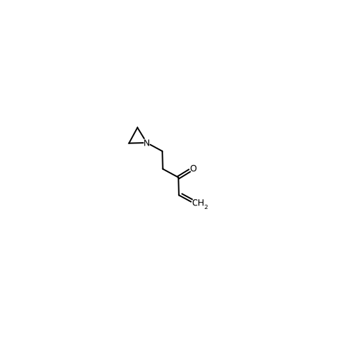 C=CC(=O)CCN1CC1